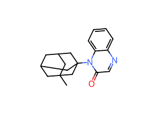 CC12CC3CC(C1)CC(n1c(=O)cnc4ccccc41)(C3)C2